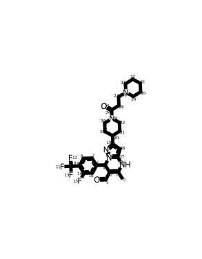 CC1=C(C=O)C(c2ccc(C(F)(F)F)c(F)c2)n2nc(C3CCN(C(=O)CCN4CCCCC4)CC3)cc2N1